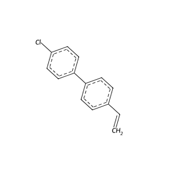 C=Cc1ccc(-c2ccc(Cl)cc2)cc1